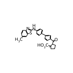 Cc1ccc2nc(Nc3ccc(-c4ccc(C(=O)C5CCC[C@H]5C(=O)O)cc4)cc3)sc2c1